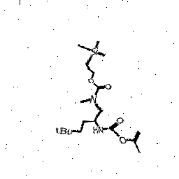 C=C(C)OC(=O)N[C@@H](CCC(C)(C)C)CN(C)C(=O)OCC[Si](C)(C)C